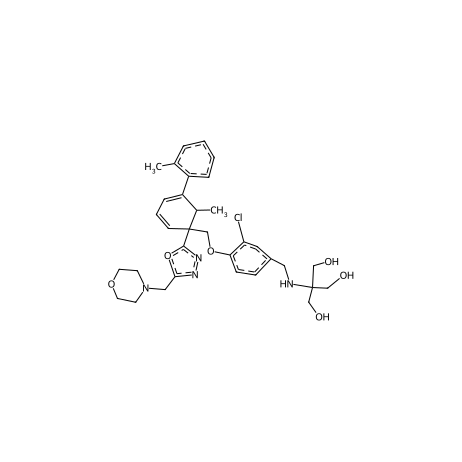 Cc1ccccc1C1=CC=CC(COc2ccc(CNC(CO)(CO)CO)cc2Cl)(c2nnc(CN3CCOCC3)o2)C1C